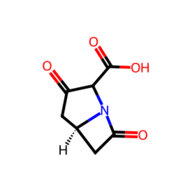 O=C(O)C1C(=O)C[C@@H]2CC(=O)N12